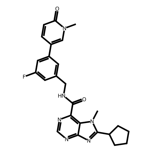 Cn1cc(-c2cc(F)cc(CNC(=O)c3ncnc4nc(C5CCCC5)n(C)c34)c2)ccc1=O